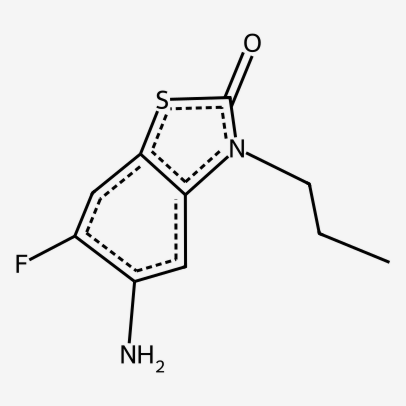 CCCn1c(=O)sc2cc(F)c(N)cc21